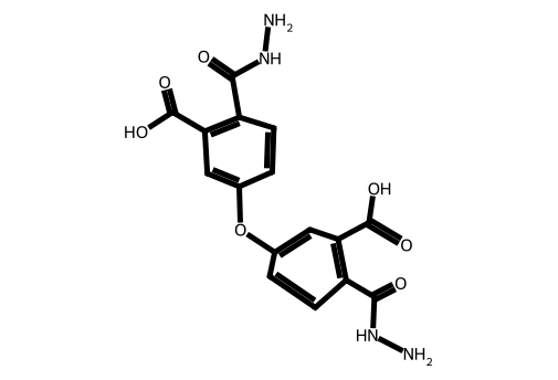 NNC(=O)c1ccc(Oc2ccc(C(=O)NN)c(C(=O)O)c2)cc1C(=O)O